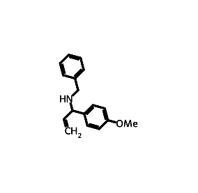 C=CC(NCc1ccccc1)c1ccc(OC)cc1